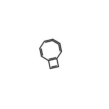 C1=C=CC2=C(C=CC=1)C=C2